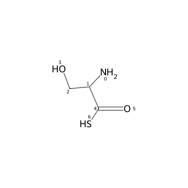 NC(CO)C(=O)S